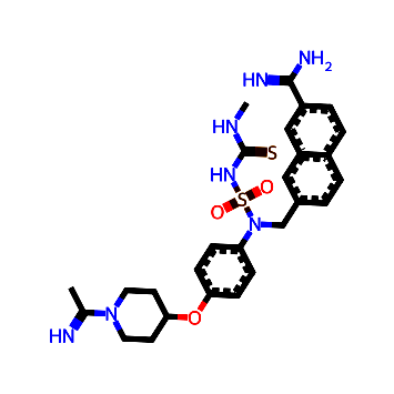 CNC(=S)NS(=O)(=O)N(Cc1ccc2ccc(C(=N)N)cc2c1)c1ccc(OC2CCN(C(C)=N)CC2)cc1